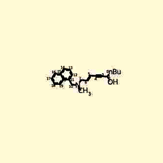 CCCCC(O)C#C/C=C/CN(C)Cc1cccc2ccccc12